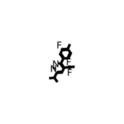 Cc1ccc(-c2nnc(C(C)C)cc2C(C)(F)F)cc1F